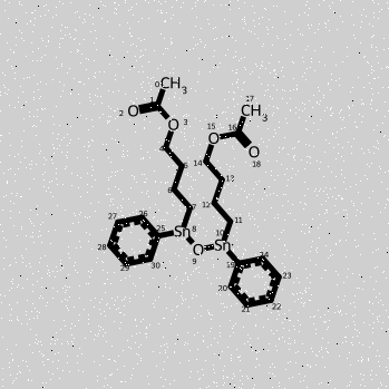 CC(=O)OCCC[CH2][Sn]([O][Sn]([CH2]CCCOC(C)=O)[c]1ccccc1)[c]1ccccc1